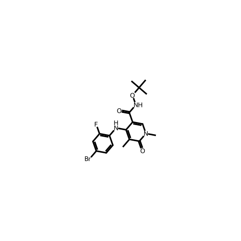 Cc1c(Nc2ccc(Br)cc2F)c(C(=O)NOC(C)(C)C)cn(C)c1=O